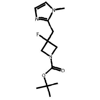 Cn1ccnc1CC1(F)CN(C(=O)OC(C)(C)C)C1